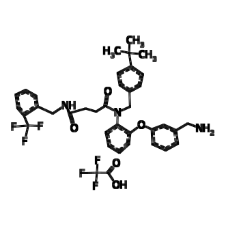 CC(C)(C)c1ccc(CN(C(=O)CCC(=O)NCc2ccccc2C(F)(F)F)c2ccccc2Oc2cccc(CN)c2)cc1.O=C(O)C(F)(F)F